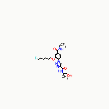 CC(CO)NC(=O)c1cn(-c2ccc(C(=O)NCC(F)(F)F)cc2OCCCCCCF)nn1